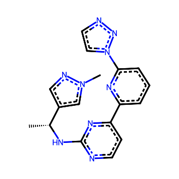 C[C@@H](Nc1nccc(-c2cccc(-n3ccnn3)n2)n1)c1cnn(C)c1